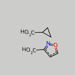 O=C(O)C1CC1.O=C(O)c1ccon1